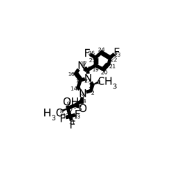 C[C@H]1CN(C2OC2[C@@](C)(O)C(F)(F)F)Cc2cnc(-c3ccc(F)cc3F)n21